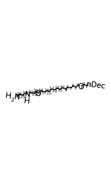 CCCCCCCCCCCCOCCCCCCCCCCCCCCCOCCCNCCCN